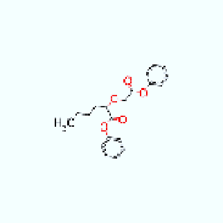 CCCCC(OCC(=O)Oc1ccccc1)C(=O)Oc1ccccc1